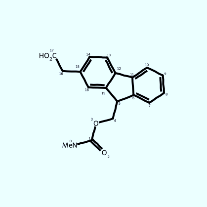 CNC(=O)OCC1c2ccccc2-c2ccc(CC(=O)O)cc21